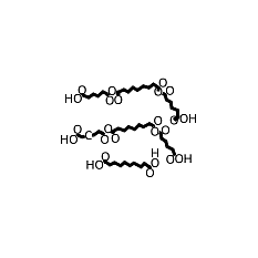 O=C(O)CCCCC(=O)OC(=O)CCCCCCCC(=O)OC(=O)CCCCC(=O)O.O=C(O)CCCCC(=O)OC(=O)CCCCCCCC(=O)OC(=O)CCCCC(=O)O.O=C(O)CCCCCCCCC(=O)O